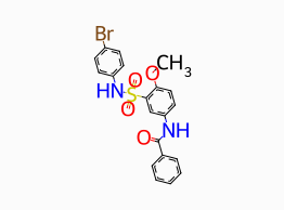 COc1ccc(NC(=O)c2ccccc2)cc1S(=O)(=O)Nc1ccc(Br)cc1